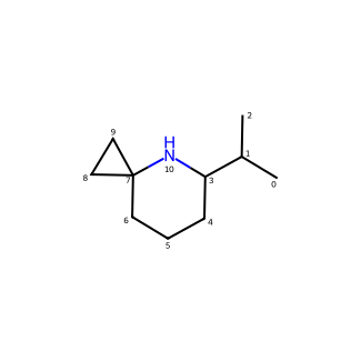 CC(C)C1CCCC2(CC2)N1